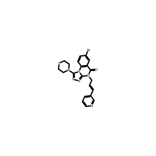 O=c1c2cc(Br)ccc2n2c(N3CCSCC3)nnc2n1CC=Cc1cccnc1